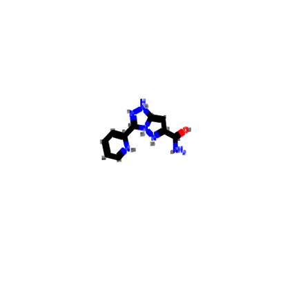 NC(=O)c1cc2[nH]nc(-c3ccccn3)n2n1